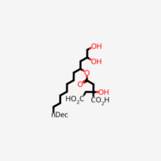 CCCCCCCCCCCCCCCCCC(CC(O)CO)OC(=O)CC(O)(CC(=O)O)C(=O)O